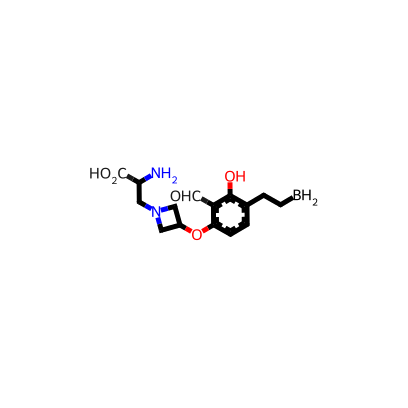 BCCc1ccc(OC2CN(CC(N)C(=O)O)C2)c(C=O)c1O